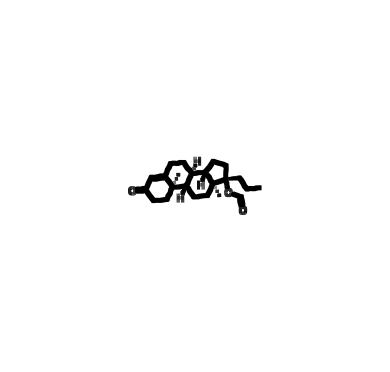 CCC[C@]1(OC=O)CC[C@H]2[C@@H]3CCC4=CC(=O)CC[C@]4(C)[C@H]3CC[C@@]21C